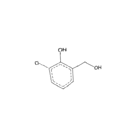 OCc1cccc(Cl)c1O